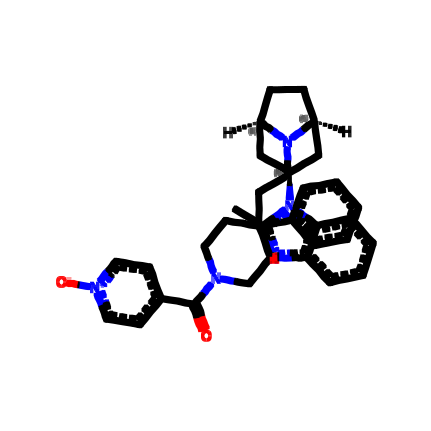 Cc1nc2ccccc2n1[C@H]1C[C@H]2CC[C@@H](C1)N2CCC1(c2ccccc2)CCN(C(=O)c2cc[n+]([O-])cc2)CC1